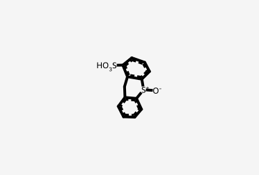 O=S(=O)(O)c1cccc2c1Cc1ccccc1[S+]2[O-]